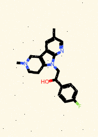 Cc1cnc2c(c1)c1c(n2CC(O)c2ccc(F)cc2)CCN(C)C1